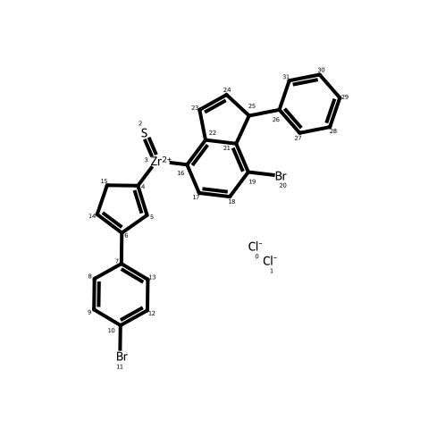 [Cl-].[Cl-].[S]=[Zr+2]([C]1=CC(c2ccc(Br)cc2)=CC1)[c]1ccc(Br)c2c1C=CC2c1ccccc1